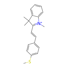 CSc1ccc(/C=C/C2=[N+](C)c3ccccc3C2(C)C)cc1